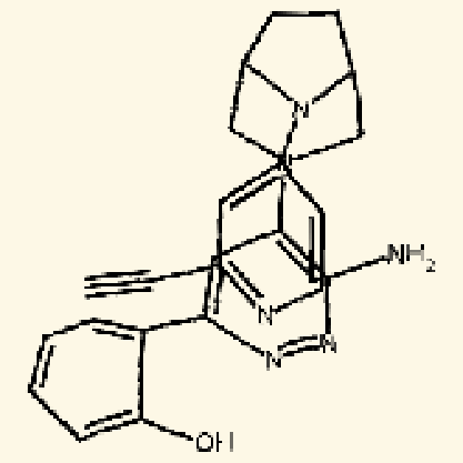 C#Cc1cc(N2C3CCC2CN(c2cc(-c4ccccc4O)nnc2N)C3)ccn1